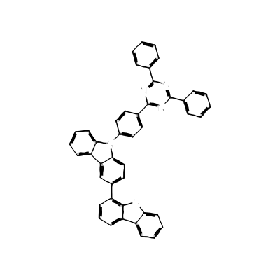 c1ccc(-c2nc(-c3ccccc3)nc(-c3ccc(-n4c5ccccc5c5cc(-c6cccc7c6sc6ccccc67)ccc54)cc3)n2)cc1